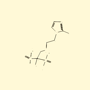 Cc1nccn1CCOCC(O)(P(=O)(O)O)P(=O)(O)O